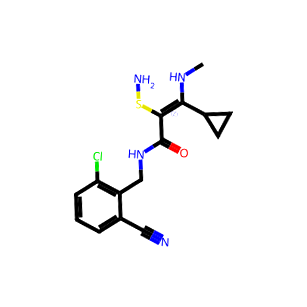 CN/C(=C(\SN)C(=O)NCc1c(Cl)cccc1C#N)C1CC1